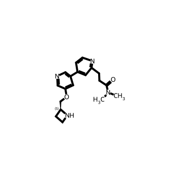 CN(C)C(=O)CCc1cc(-c2cncc(OC[C@@H]3CCN3)c2)ccn1